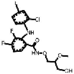 COC(CO)CONC(=O)c1ccc(F)c(F)c1Nc1ccc(I)cc1Cl